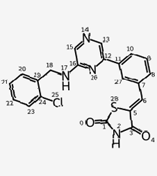 O=C1NC(=O)C(=Cc2cccc(-c3cncc(NCc4ccccc4Cl)n3)c2)S1